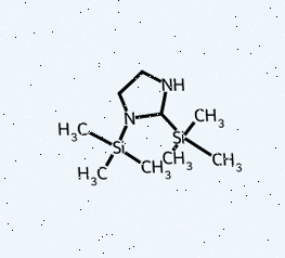 C[Si](C)(C)C1NCCN1[Si](C)(C)C